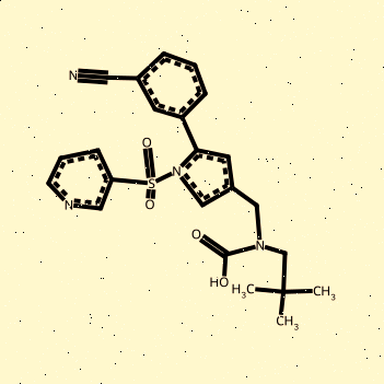 CC(C)(C)CN(Cc1cc(-c2cccc(C#N)c2)n(S(=O)(=O)c2cccnc2)c1)C(=O)O